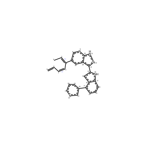 C=C/C=C\C(=C/C)c1cnc2[nH]nc(-c3cc4c(-c5cccnc5)cccc4[nH]3)c2c1